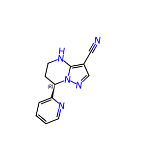 N#Cc1cnn2c1NCC[C@@H]2c1ccccn1